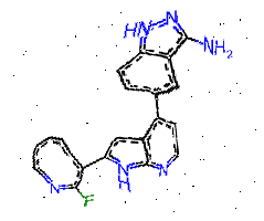 Nc1n[nH]c2ccc(-c3ccnc4[nH]c(-c5cccnc5F)cc34)cc12